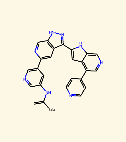 C=C(Nc1cncc(-c2cc3c(-c4cc5c(-c6ccncc6)cncc5[nH]4)n[nH]c3cn2)c1)C(C)(C)C